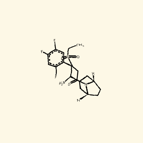 CCS(=O)(=O)CCC(=O)N1[C@@H]2CC[C@H]1C[C@H](C(N)Cc1cc(F)c(F)cc1F)C2